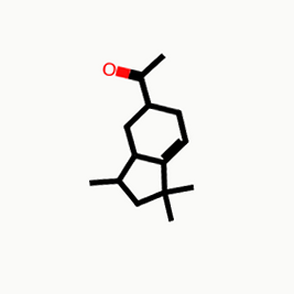 CC(=O)C1CC=C2C(C1)C(C)CC2(C)C